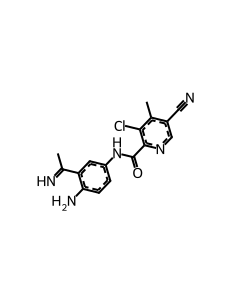 CC(=N)c1cc(NC(=O)c2ncc(C#N)c(C)c2Cl)ccc1N